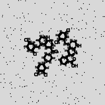 O=C(O)c1ccccc1-c1cnc2c(c1)N(Cc1cc(Cl)ccc1Cl)CCN2.O=C(c1cnc2c(c1)N(Cc1cc(Cl)ccc1Cl)CCN2)N1CCN(c2ccc(Cl)c(Cl)c2)CC1